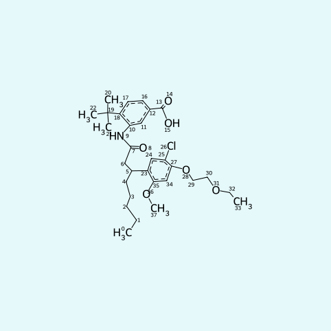 CCCCCC(CC(=O)Nc1cc(C(=O)O)ccc1C(C)(C)C)c1cc(Cl)c(OCCOCC)cc1OC